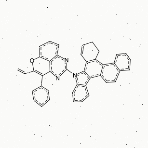 C=CC1=C(c2ccccc2)c2nc(-n3c4ccccc4c4c5ccc6ccccc6c5c5c(c43)C=CCC5)nc3cccc(c23)O1